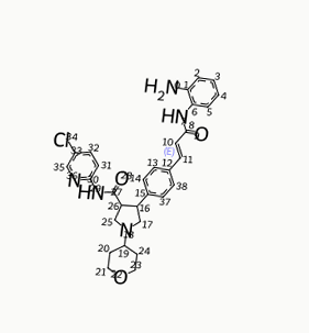 Nc1ccccc1NC(=O)/C=C/c1ccc(C2CN(C3CCOCC3)CC2C(=O)Nc2ccc(Cl)cn2)cc1